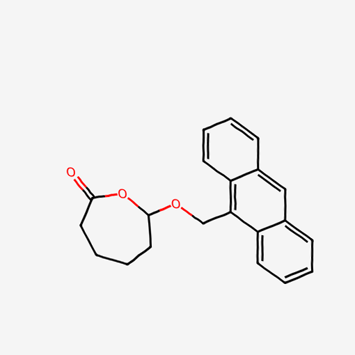 O=C1CCCCC(OCc2c3ccccc3cc3ccccc23)O1